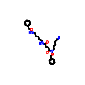 N#CCCCCN(OCc1ccccc1)C(=O)CCC(=O)NCCCCCNOCc1ccccc1